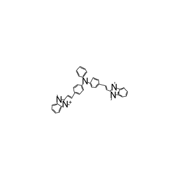 Cn1c(/C=C/c2ccc(N(c3ccccc3)c3ccc(/C=C/c4n(C)c5ccccc5[n+]4C)cc3)cc2)[n+](C)c2ccccc21